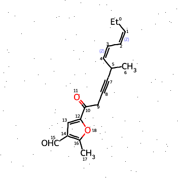 CC/C=C\C=C/C(C)C#CCC(=O)c1cc(C=O)c(C)o1